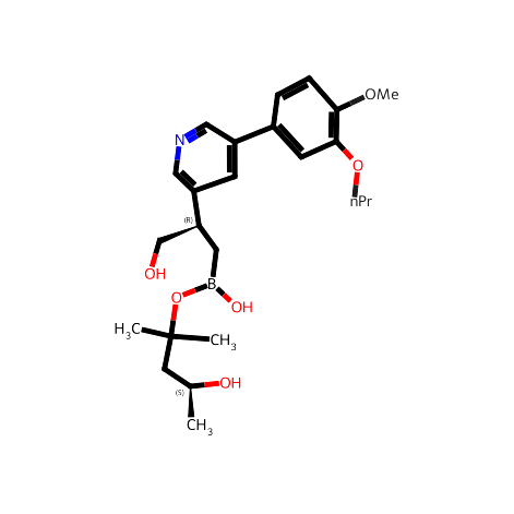 CCCOc1cc(-c2cncc([C@H](CO)CB(O)OC(C)(C)C[C@H](C)O)c2)ccc1OC